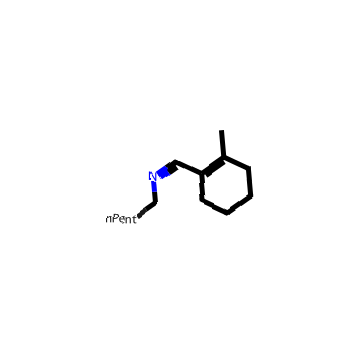 CCCCCC/N=C\C1=C(C)CCCC1